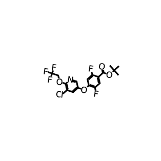 CC(C)(C)OC(=O)c1cc(F)c(Oc2cnc(OCC(F)(F)F)c(Cl)c2)cc1F